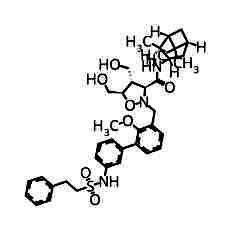 COc1c(CN2O[C@@H](CO)[C@H](CO)[C@H]2C(=O)N[C@H]2C[C@H]3C[C@@H]([C@@H]2C)C3(C)C)cccc1-c1cccc(NS(=O)(=O)CCc2ccccc2)c1